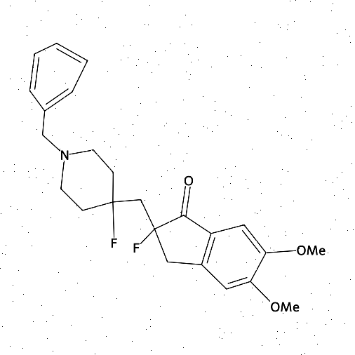 COc1cc2c(cc1OC)C(=O)C(F)(CC1(F)CCN(Cc3ccccc3)CC1)C2